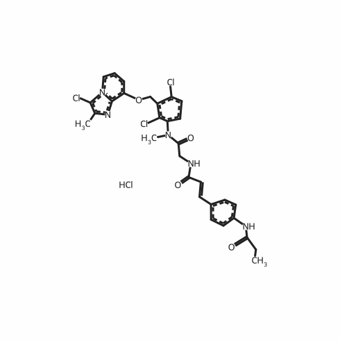 CCC(=O)Nc1ccc(C=CC(=O)NCC(=O)N(C)c2ccc(Cl)c(COc3cccn4c(Cl)c(C)nc34)c2Cl)cc1.Cl